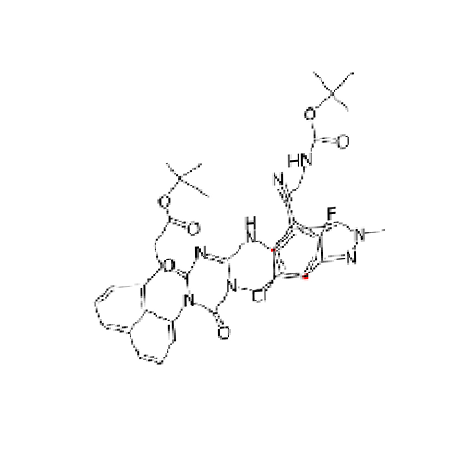 Cn1cc2c(CCNC(=O)OC(C)(C)C)c(Nc3nc(=O)n(-c4cccc5cccc(CCC(=O)OC(C)(C)C)c45)c(=O)n3Cc3ccc(F)c(C#N)c3)c(Cl)cc2n1